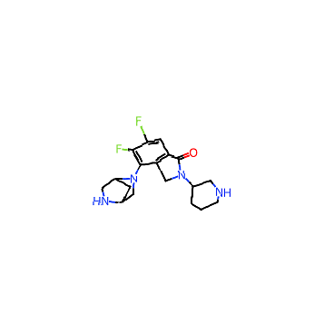 O=C1c2cc(F)c(F)c(N3CC4CC3CN4)c2CN1C1CCCNC1